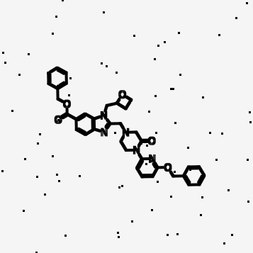 O=C(OCc1ccccc1)c1ccc2nc(CN3CCN(c4cccc(OCc5ccccc5)n4)C(=O)C3)n(CC3CCO3)c2c1